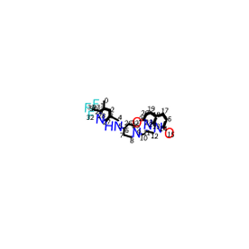 Cc1cc(CNC2CCN(C[C@@H]3Cn4c(=O)ccc5ccc(=O)n3c54)CC2)cnc1C(F)(F)F